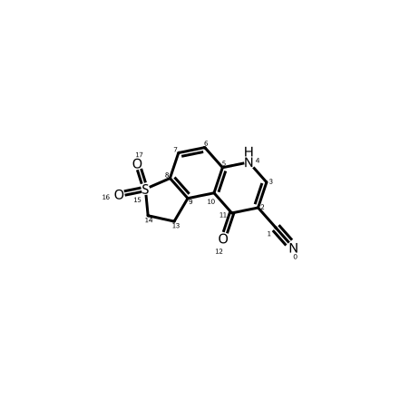 N#Cc1c[nH]c2ccc3c(c2c1=O)CCS3(=O)=O